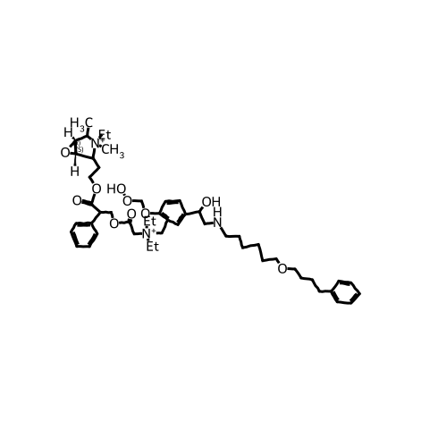 CC[N+](CC)(CC(=O)OCC(C(=O)OCCC1[C@@H]2O[C@@H]2C(C)[N+]1(C)CC)c1ccccc1)Cc1cc(C(O)CNCCCCCCOCCCCc2ccccc2)ccc1OCOO